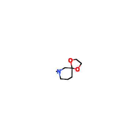 C1C[N]CC2(C1)OCCO2